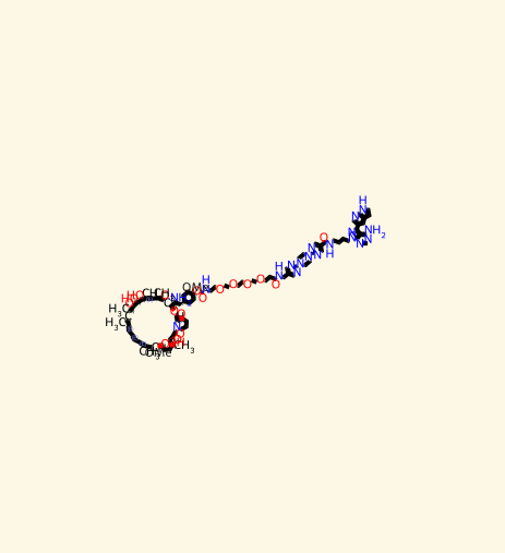 CO[C@H]1C[C@@H]2CC[C@@H](C)[C@@](O)(O2)C(=O)C(=O)N2CCCC[C@H]2C(=O)O[C@H]([C@H](N)C[C@@H]2CC[C@@H](OC(=O)NCCOCCOCCOCCOCCC(=O)NCc3cnc(N4CCN(c5ncc(C(=O)NCCCCn6nc(-c7cnc8[nH]ccc8c7)c7c(N)ncnc76)cn5)CC4)nc3)[C@H](OC)C2)CC(=O)[C@H](C)/C=C(\C)[C@@H](O)[C@@H](O)C(=O)[C@H](C)C[C@H](C)/C=C/C=C/C=C/1C